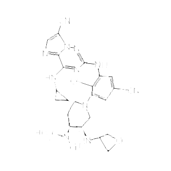 CN(C(=O)O)[C@H]1CCN(c2cc(C#N)cc(Nc3nc(NC4CC4)c4ncc(C#N)n4n3)c2Cl)C[C@H]1NC1COC1